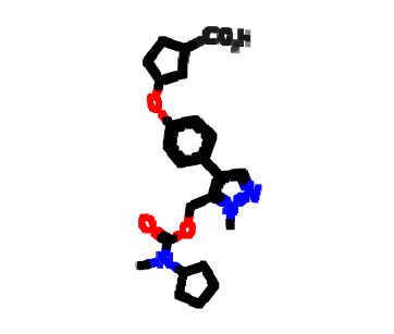 CN(C(=O)OCc1c(-c2ccc(OC3CCC(C(=O)O)C3)cc2)cnn1C)C1CCCC1